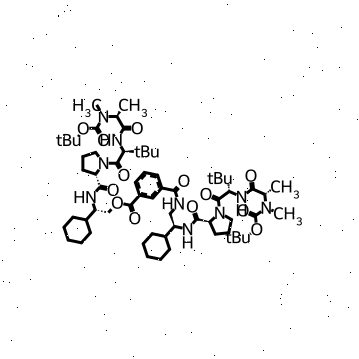 C[C@@H](C(=O)N[C@H](C(=O)N1CCC[C@H]1C(=O)N[C@H](CNC(=O)c1cccc(C(=O)OC[C@@H](NC(=O)[C@@H]2CCCN2C(=O)[C@@H](NC(=O)[C@H](C)N(C)C(=O)OC(C)(C)C)C(C)(C)C)C2CCCCC2)c1)C1CCCCC1)C(C)(C)C)N(C)C(=O)OC(C)(C)C